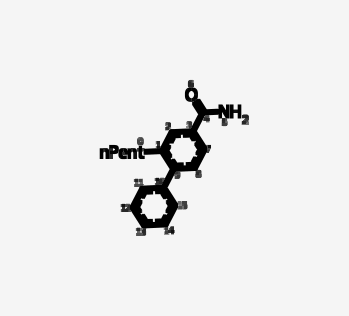 CCCCCc1cc(C(N)=O)ccc1-c1ccccc1